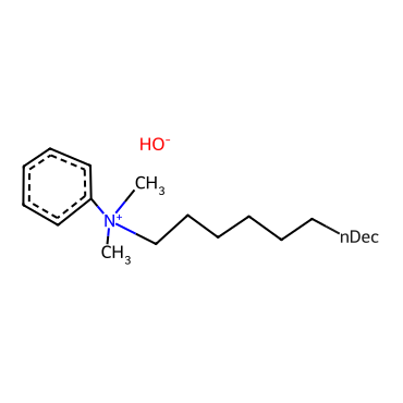 CCCCCCCCCCCCCCCC[N+](C)(C)c1ccccc1.[OH-]